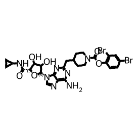 Nc1nc(CC2CCN(C(=O)Oc3ccc(Br)cc3Br)CC2)nc2c1ncn2[C@@H]1O[C@H](C(=O)NC2CC2)C(O)C1O